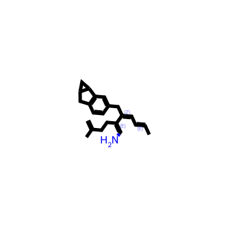 C=C(C)CCC(=C\N)/C(=C\C=C\C)Cc1ccc2c(c1)C1CC1C2